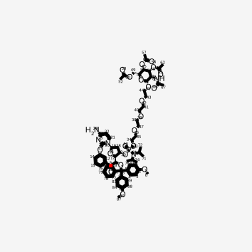 COc1ccc(C(OC(C(=O)c2ccccc2)[C@H]2O[C@@H](n3ccc(N)nc3=O)C[C@@H]2OP(=O)(OCCOCCOCCOCCO[C@@H]2O[C@H](COC(C)=O)[C@H](OC(C)=O)[C@H](OC(C)=O)[C@H]2NC(C)=O)N(C(C)C)C(C)C)(c2ccccc2)c2ccc(OC)cc2)cc1